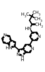 C=C(CC(C)(C)C)Nc1cncc(-c2cc3c(-c4cc5cnccc5[nH]4)n[nH]c3cn2)c1